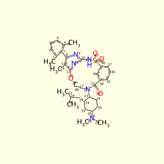 Cc1cccc(C)c1-c1nc2nc(c1C)OC[C@@H](CC(C)C)N(C1CCC(N(C)C)CC1)C(=O)c1cccc(c1)S(=O)(=O)N2